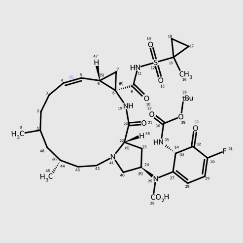 CC1CC/C=C\[C@@H]2C[C@@]2(C(=O)NS(=O)(=O)C2(C)CC2)NC(=O)[C@@H]2C[C@@H](N(C(=O)O)C3=CC=C(F)C(=O)[C@H]3NC(=O)OC(C)(C)C)CN2CC[C@H](C)C1